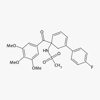 COc1cc(C(=O)C2(NS(C)(=O)=O)C=CC=C(c3ccc(F)cc3)C2)cc(OC)c1OC